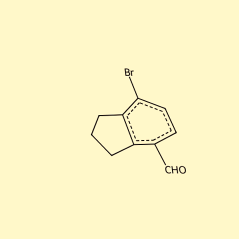 O=Cc1ccc(Br)c2c1CCC2